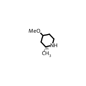 COC1CCN[C@H](C)C1